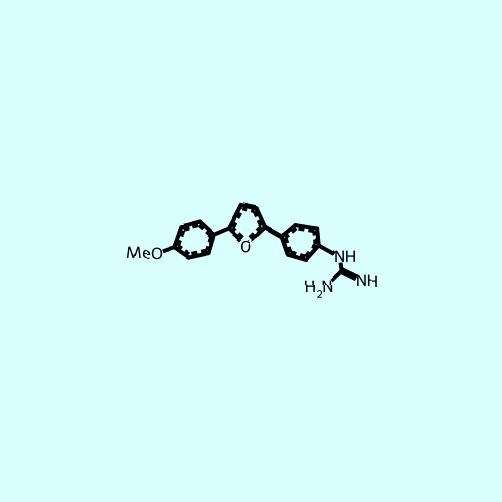 COc1ccc(-c2ccc(-c3ccc(NC(=N)N)cc3)o2)cc1